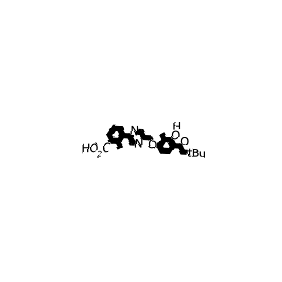 Cc1c(C(=O)O)cccc1-c1cnc(COc2ccc(C(=O)CC(C)(C)C)c(O)c2C)cn1